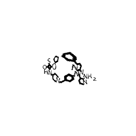 Nc1ncccc1-c1nc2ccc(-c3ccccc3)nc2n1-c1ccc(CN2CCC(Nc3c(OC4CCCC4)c(=S)c3=O)CC2)cc1